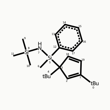 CC(C)(C)C1=CC(C(C)(C)C)([Si](C)(N[Si](C)(C)C)c2ccccc2)C=C1